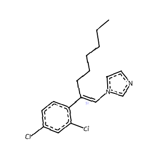 CCCCCC/C(=C\n1ccnc1)c1ccc(Cl)cc1Cl